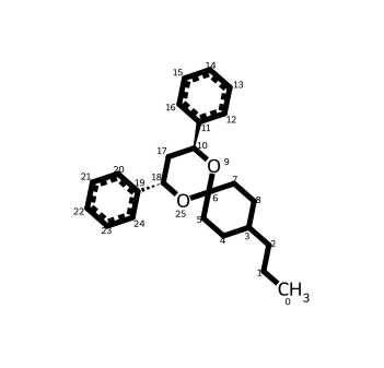 CCCC1CCC2(CC1)O[C@H](c1ccccc1)C[C@@H](c1ccccc1)O2